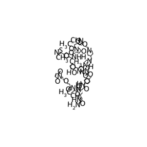 Cc1ncsc1-c1ccc([C@H](C)NC(=O)[C@@H]2C[C@@H](O)CN2C(=O)[C@@H](c2cc(OCCN3CCC(CN4CCN5c6cc(-c7ccccc7O)nnc6N(C(=O)OCc6ccc(NC(=O)[C@H](CCCNC(N)=O)NC(=O)[C@@H](NC(=O)CCOCCN7C(=O)C=CC7=O)C(C)C)cc6)C[C@H]5C4)CC3)no2)C(C)C)cc1